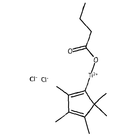 CCCC(=O)[O][Ti+2][C]1=C(C)C(C)=C(C)C1(C)C.[Cl-].[Cl-]